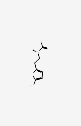 Cc1ccc(CCN(O)C(N)=O)o1